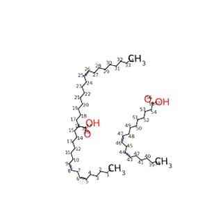 CCCCC/C=C\C/C=C\CCCCCCC(CCCCCCCC/C=C\CCCCCCCC)C(=O)O.CCCCC/C=C\C/C=C\CCCCCCCC(=O)O